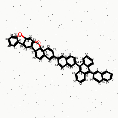 c1ccc2cc(-c3c4ccccc4c(-c4ccc5cc(-c6ccc7c(ccc8c9cc%10c(cc9oc78)oc7ccccc7%10)c6)ccc5c4)c4ccccc34)ccc2c1